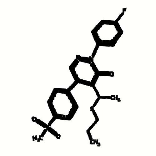 CCCSC(C)c1c(-c2ccc(S(C)(=O)=O)cc2)cnn(-c2ccc(F)cc2)c1=O